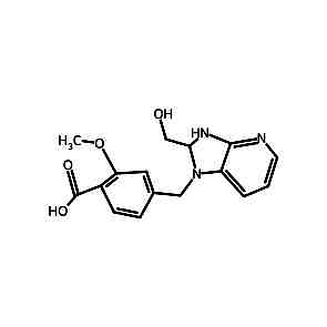 COc1cc(CN2c3cccnc3NC2CO)ccc1C(=O)O